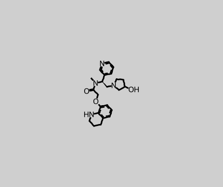 CN(C(=O)COc1cccc2c1NCCC2)[C@H](CN1CCC(O)C1)c1cccnc1